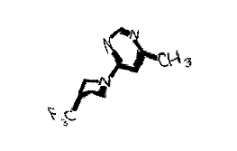 Cc1cc(N2CC(C(F)(F)F)C2)ncn1